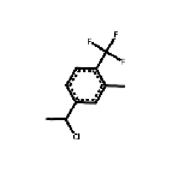 Cc1cc(C(C)Cl)ccc1C(F)(F)F